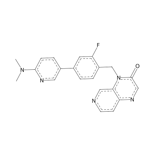 CN(C)c1ccc(-c2ccc(Cn3c(=O)cnc4ccncc43)c(F)c2)cn1